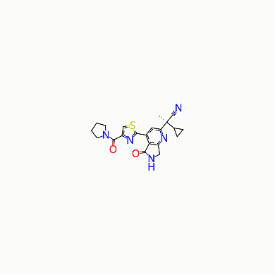 C[C@@](C#N)(c1cc(-c2nc(C(=O)N3CCCC3)cs2)c2c(n1)CNC2=O)C1CC1